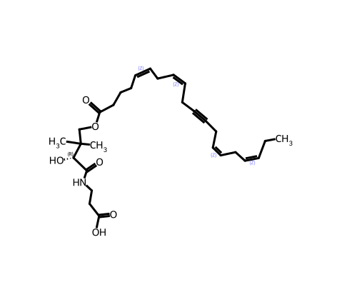 CC/C=C\C/C=C\CC#CC/C=C\C/C=C\CCCC(=O)OCC(C)(C)[C@@H](O)C(=O)NCCC(=O)O